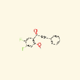 COc1cc(F)c(F)cc1C(=O)C#Cc1ccccc1